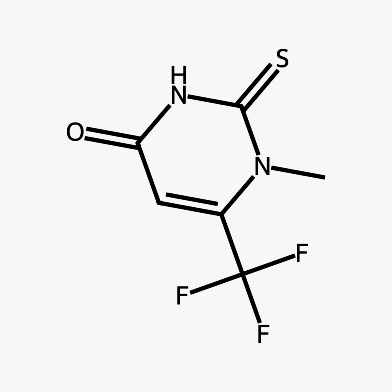 Cn1c(C(F)(F)F)cc(=O)[nH]c1=S